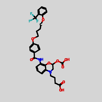 O=C(O)CCCN1CC(OC(=O)O)Oc2c(NC(=O)c3ccc(OCCCCOc4ccccc4C(F)(F)F)cc3)cccc21